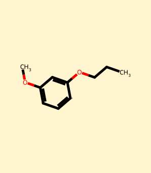 CCCOc1[c]ccc(OC)c1